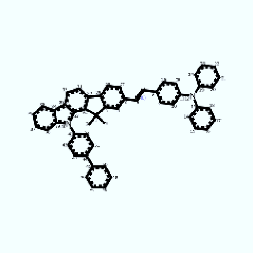 CC1(C)c2cc(/C=C/c3ccc(N(c4ccccc4)c4ccccc4)cc3)ccc2-c2ccc3c4ccccc4n(-c4ccc(-c5ccccc5)cc4)c3c21